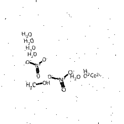 CO.O.O.O.O.O.O.O=[N+]([O-])[O-].O=[N+]([O-])[O-].[Co+2]